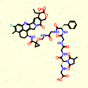 CC[C@@]1(O)C(=O)OCc2c1cc1n(c2=O)Cc2c-1nc1cc(F)c(C)c3c1c2[C@@H](NC(=O)C1(OCNC(=O)CNC(=O)[C@H](Cc2ccccc2)NC(=O)CNC(=O)CNC(=O)[C@@H](CNCC(=O)O)N2C(=O)CC(C)C2=O)CC1)CC3